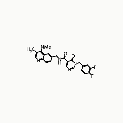 CNc1c(C)cnc2ccc(CNC(=O)c3cncn(Cc4ccc(F)c(F)c4)c3=O)cc12